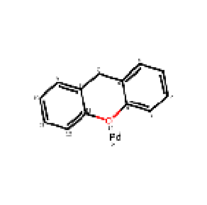 [Pd].c1ccc2c(c1)Cc1ccccc1O2